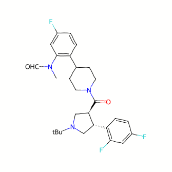 CN(C=O)c1cc(F)ccc1C1CCN(C(=O)[C@@H]2CN(C(C)(C)C)C[C@H]2c2ccc(F)cc2F)CC1